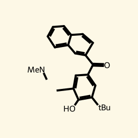 CNC.Cc1cc(C(=O)c2ccc3ccccc3c2)cc(C(C)(C)C)c1O